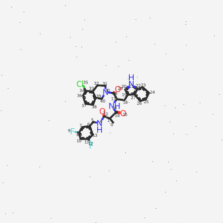 CC(C(=O)NCc1cc(F)cc(F)c1)C(=O)NC(Cc1c[nH]c2ccccc12)C(=O)N1CCc2c(Cl)cccc2C1